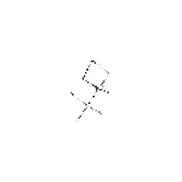 CC(C)(C)[N+]1(C)CCC1